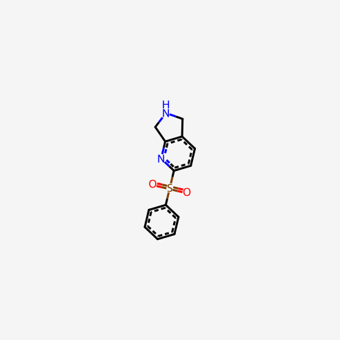 O=S(=O)(c1ccccc1)c1ccc2c(n1)CNC2